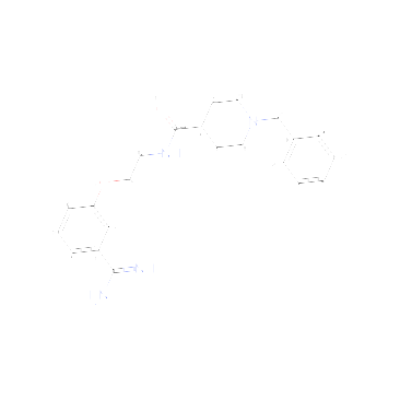 N=C(N)c1cccc(OCCNC(=O)C2CCN(Cc3ccccc3)CC2)c1